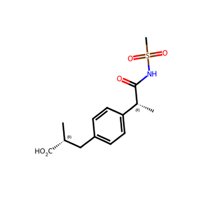 C[C@H](Cc1ccc([C@@H](C)C(=O)NS(C)(=O)=O)cc1)C(=O)O